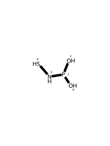 OP(O)NS